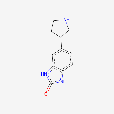 O=c1[nH]c2ccc(C3CCNC3)cc2[nH]1